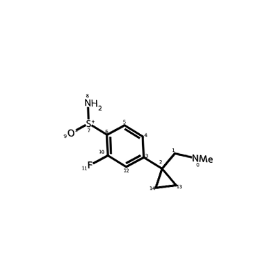 CNCC1(c2ccc([S+](N)[O-])c(F)c2)CC1